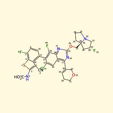 N#Cc1c(NC(=O)O)sc2c(F)ccc(-c3c(Cl)cc4c(C5=CCCOC5)nc(OC[C@@]56CCCN5C[C@H](F)C6)nc4c3F)c12